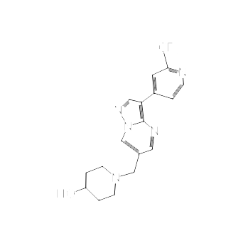 OC1CCN(Cc2cnc3c(-c4ccnc(C(F)(F)F)c4)cnn3c2)CC1